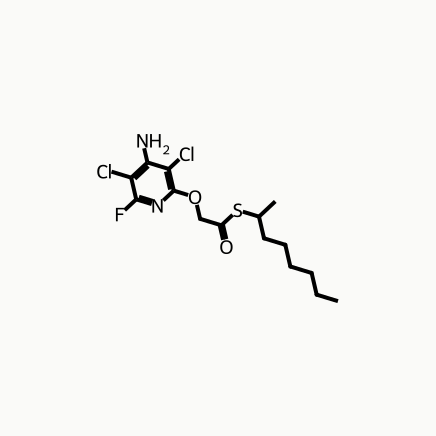 CCCCCCC(C)SC(=O)COc1nc(F)c(Cl)c(N)c1Cl